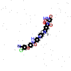 CC1(CN2Cc3cc4c(cc3C2)C(=O)N(C2CCC(=O)NC2=O)C4=O)CCN(c2ccc(C(=O)N[C@H]3CC[C@H](Oc4ccc(C#N)c(Cl)c4)CC3)cc2)CC1